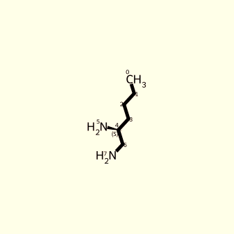 CCCC[C@H](N)CN